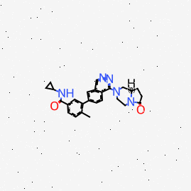 Cc1ccc(C(=O)NC2CC2)cc1-c1ccc2c(N3CCN4C(=O)CC[C@@H]4C3)nncc2c1